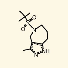 Cc1n[nH]c2c1CN(S(=O)(=O)C(C)(C)C)CCC2